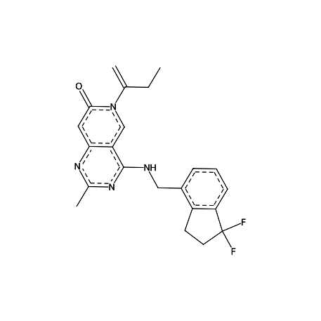 C=C(CC)n1cc2c(NCc3cccc4c3CCC4(F)F)nc(C)nc2cc1=O